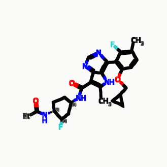 CCC(=O)N[C@@H]1CC[C@@H](NC(=O)c2c(C)[nH]c3c(-c4c(OCC5CC5)ccc(C)c4F)ncnc23)C[C@H]1F